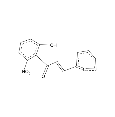 O=C(/C=C/c1ccccc1)c1c(O)cccc1[N+](=O)[O-]